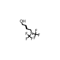 OC/C=C/CN(C(F)(F)F)C(F)(F)F